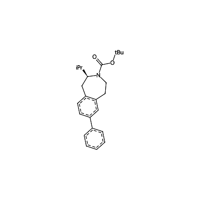 CC(C)[C@@H]1Cc2ccc(-c3ccccc3)cc2CCN1C(=O)OC(C)(C)C